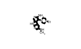 CBc1cnc2[nH]c3cnc(N)c(N4CCN(CC)CC4)c3c2c1